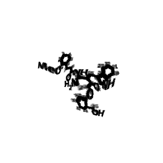 COc1ccccc1CCC(=O)NC(N)C(Cc1c[nH]c2ccccc12)C(=O)COc1ccccc1CO